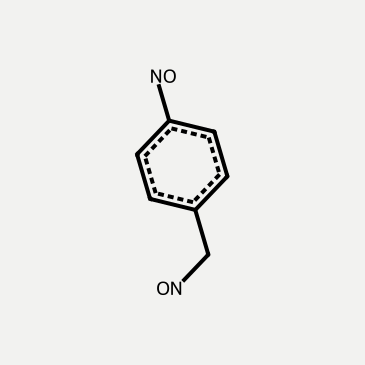 O=NCc1ccc(N=O)cc1